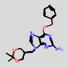 CC1(C)OCC(Cn2cnc3c(OCc4ccccc4)nc(N)nc32)CO1